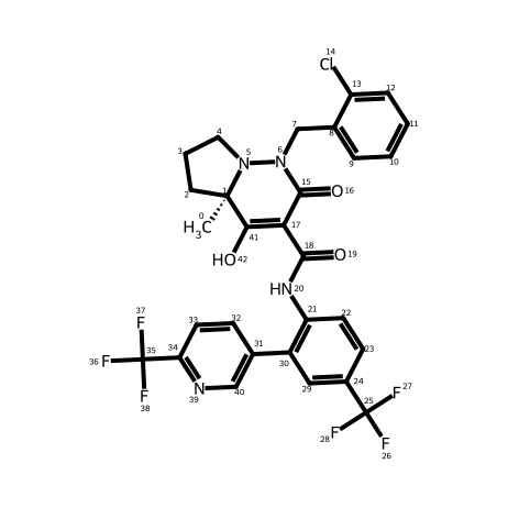 C[C@]12CCCN1N(Cc1ccccc1Cl)C(=O)C(C(=O)Nc1ccc(C(F)(F)F)cc1-c1ccc(C(F)(F)F)nc1)=C2O